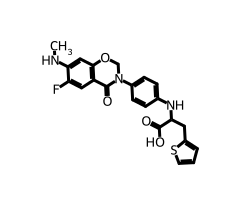 CNc1cc2c(cc1F)C(=O)N(c1ccc(NC(Cc3cccs3)C(=O)O)cc1)CO2